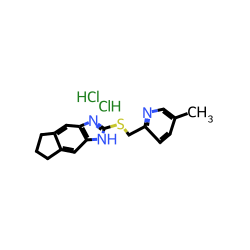 Cc1ccc(CSc2nc3cc4c(cc3[nH]2)CCC4)nc1.Cl.Cl